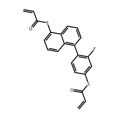 C=CC(=O)Sc1ccc(-c2cccc3c(SC(=O)C=C)cccc23)c(F)c1